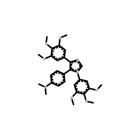 COc1cc(-c2ncn(-c3cc(OC)c(OC)c(OC)c3)c2-c2ccc(N(C)C)cc2)cc(OC)c1OC